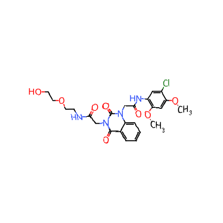 COc1cc(OC)c(NC(=O)Cn2c(=O)n(CC(=O)NCCOCCO)c(=O)c3ccccc32)cc1Cl